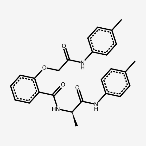 Cc1ccc(NC(=O)COc2ccccc2C(=O)N[C@H](C)C(=O)Nc2ccc(C)cc2)cc1